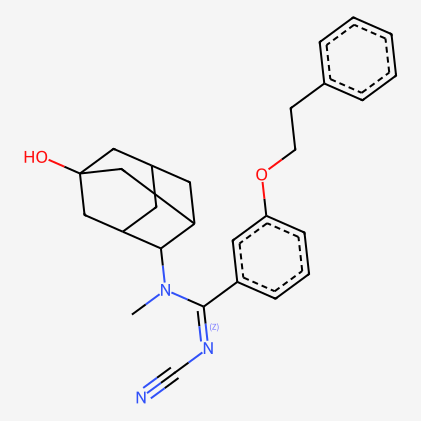 CN(/C(=N\C#N)c1cccc(OCCc2ccccc2)c1)C1C2CC3CC1CC(O)(C3)C2